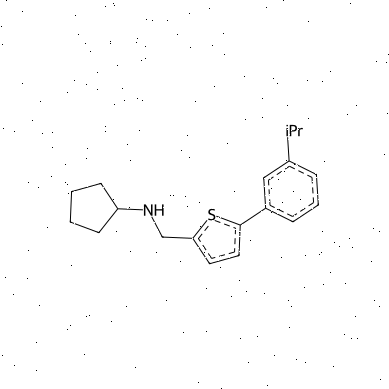 CC(C)c1cccc(-c2ccc(CNC3CCCC3)s2)c1